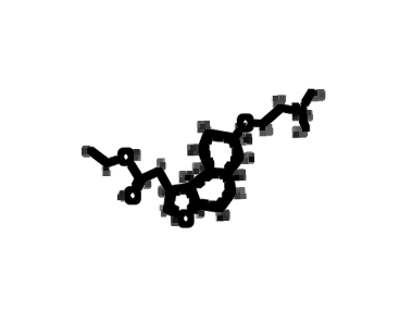 CCOC(=O)Cc1coc2ccc3cc(OCCN(C)C)ccc3c12